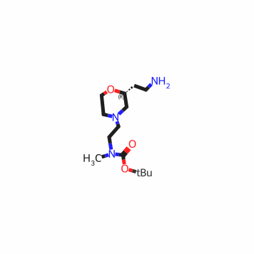 CN(CCN1CCO[C@H](CCN)C1)C(=O)OC(C)(C)C